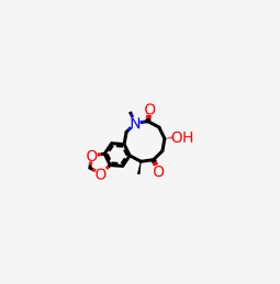 C[C@@H]1C(=O)C[C@@H](O)CC(=O)N(C)Cc2cc3c(cc21)OCO3